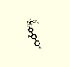 CCC1CCC(c2ccc(-c3ccc(OC(F)(F)C(F)C(F)(F)F)cc3)c(F)c2)CC1